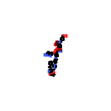 CC(C)c1ccccc1[C@@H]1CN(Cc2ccnc3c2OC(C)(C)CO3)CCN1C1CC2(C1)CN(c1ccc(C(=O)NS(=O)(=O)c3ccc(NC[C@H]4CC[C@](C)(O)CC4)c([N+](=O)[O-])c3)c(Oc3cnc4[nH]ccc4c3)c1)C2